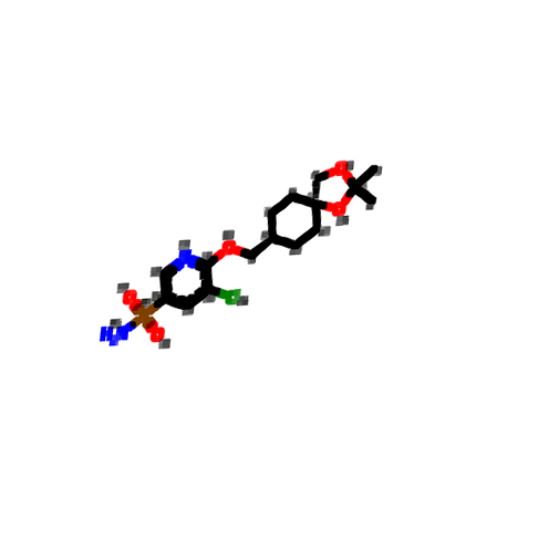 CC1(C)OC[C@]2(CC[C@H](COc3ncc(S(N)(=O)=O)cc3Cl)CC2)O1